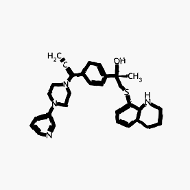 C=C=C(C1C=CC([C@](C)(O)CSC2=CC=CC3CCCNC23)=CC1)N1CCN(c2cccnc2)CC1